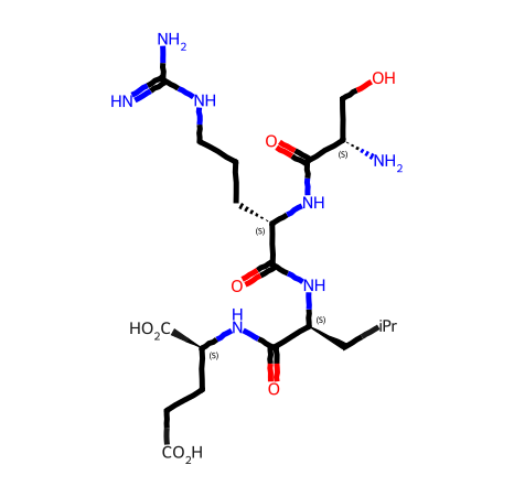 CC(C)C[C@H](NC(=O)[C@H](CCCNC(=N)N)NC(=O)[C@@H](N)CO)C(=O)N[C@@H](CCC(=O)O)C(=O)O